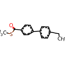 CCc1ccc(-c2ccc(C(=O)SC)cc2)cc1